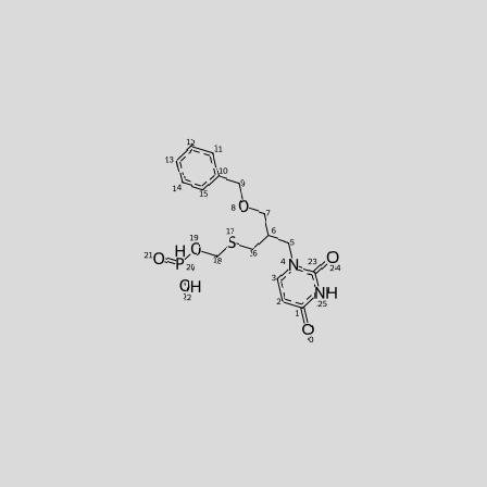 O=c1ccn(CC(COCc2ccccc2)CSCO[PH](=O)O)c(=O)[nH]1